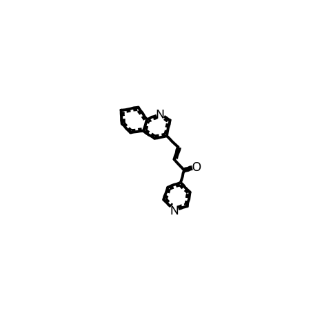 O=C(C=Cc1cnc2ccccc2c1)c1ccncc1